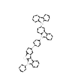 c1ccc(-n2c3ccccc3c3c4cc(-c5ccc(-n6c7ccccc7c7cc(-n8c9ccccc9c9ccccc98)ccc76)cc5)ccc4oc32)cc1